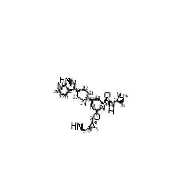 N=C[C@@H]1C[C@@H]1COc1nc(C(=O)NC23CC(C2)C3)cc(N2CCC(c3n[nH]c4ncccc34)CC2)n1